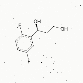 OCC[C@H](O)c1cc(F)ccc1F